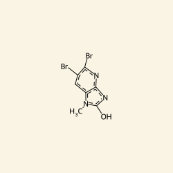 Cn1c(O)nc2nc(Br)c(Br)cc21